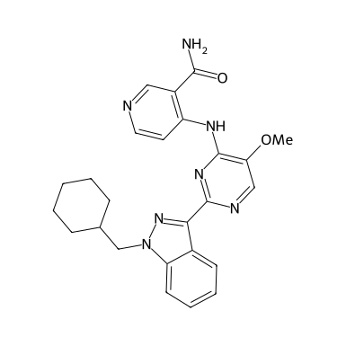 COc1cnc(-c2nn(CC3CCCCC3)c3ccccc23)nc1Nc1ccncc1C(N)=O